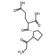 NCC(=O)N1CCC[C@H]1C(=O)C(CCC(=O)O)C(=O)O